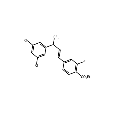 CCOC(=O)c1ccc(/C=C/C(c2cc(Cl)cc(Cl)c2)C(F)(F)F)cc1F